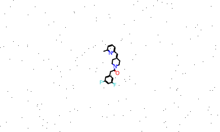 Cc1cccc(C=C2CCN(C(=O)Cc3cc(F)cc(F)c3)CC2)n1